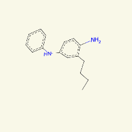 CCCCc1cc(Nc2ccccc2)ccc1N